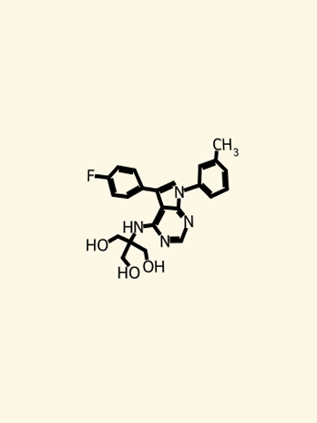 Cc1cccc(-n2cc(-c3ccc(F)cc3)c3c(NC(CO)(CO)CO)ncnc32)c1